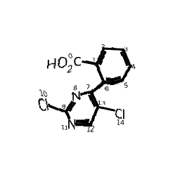 O=C(O)c1ccccc1-c1nc(Cl)ncc1Cl